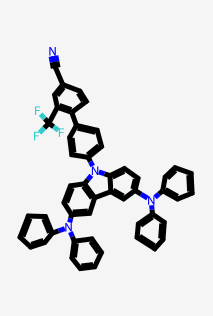 N#Cc1ccc(-c2ccc(-n3c4ccc(N(c5ccccc5)c5ccccc5)cc4c4cc(N(c5ccccc5)c5ccccc5)ccc43)cc2)c(C(F)(F)F)c1